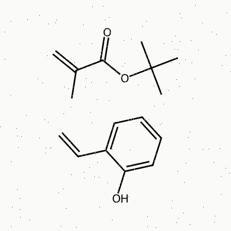 C=C(C)C(=O)OC(C)(C)C.C=Cc1ccccc1O